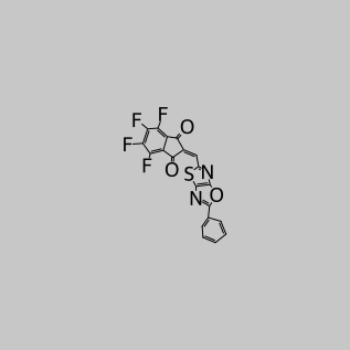 O=C1C(=Cc2nc3oc(-c4ccccc4)nc3s2)C(=O)c2c(F)c(F)c(F)c(F)c21